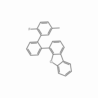 Cc1ccc(F)c(-c2ccccc2-c2cccc3c2oc2ccccc23)c1